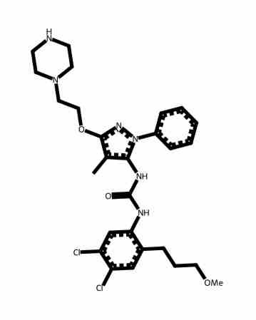 COCCCc1cc(Cl)c(Cl)cc1NC(=O)Nc1c(C)c(OCCN2CCNCC2)nn1-c1ccccc1